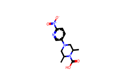 CC1CN(c2ccc([N+](=O)[O-])nc2)CC(C)N1C(=O)O